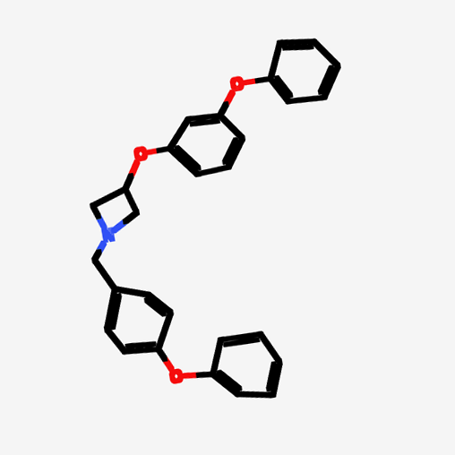 c1ccc(Oc2ccc(CN3CC(Oc4cccc(Oc5ccccc5)c4)C3)cc2)cc1